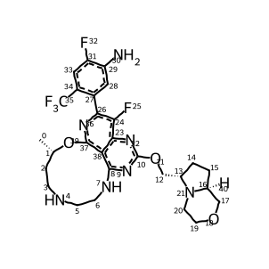 C[C@H]1CCNCCNc2nc(OC[C@@H]3CC[C@H]4COCCN43)nc3c(F)c(-c4cc(N)c(F)cc4C(F)(F)F)nc(c23)O1